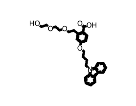 O=C(O)c1ccc(OCCCCn2c3ccccc3c3ccccc32)cc1CCOCCOCCO